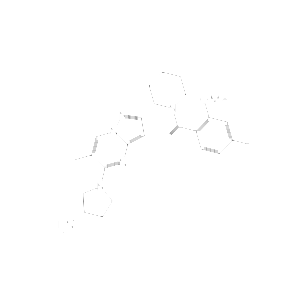 COc1cc(F)ccc1C(=O)N1CCCC[C@H]1c1cc2nc(N3CC[C@H](N)C3)c(C)cn2n1